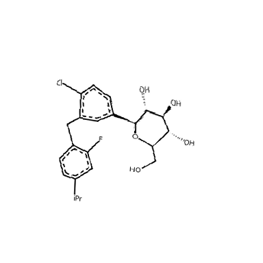 CC(C)c1ccc(Cc2cc([C@@H]3OC(CO)[C@@H](O)[C@H](O)[C@H]3O)ccc2Cl)c(F)c1